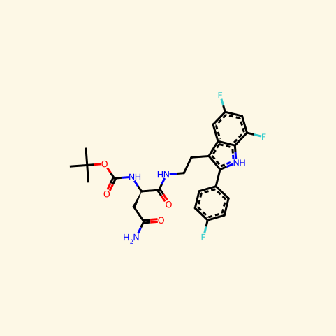 CC(C)(C)OC(=O)N[C@H](CC(N)=O)C(=O)NCCc1c(-c2ccc(F)cc2)[nH]c2c(F)cc(F)cc12